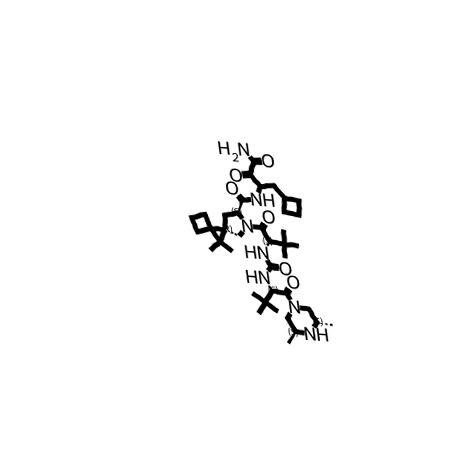 C[C@H]1CN(C(=O)[C@@H](NC(=O)N[C@H](C(=O)N2C[C@]3(C[C@H]2C(=O)NC(CC2CCC2)C(=O)C(N)=O)C(C)(C)C32CCC2)C(C)(C)C)C(C)(C)C)C[C@H](C)N1